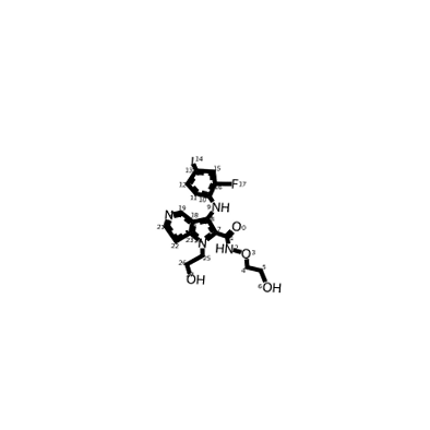 O=C(NOCCO)c1c(Nc2ccc(I)cc2F)c2cnccc2n1CCO